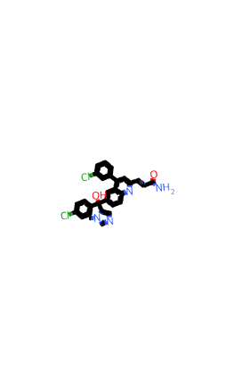 Cn1cncc1C(O)(c1ccc(Cl)cc1)c1ccc2nc(/C=C/C(N)=O)cc(-c3cccc(Cl)c3)c2c1